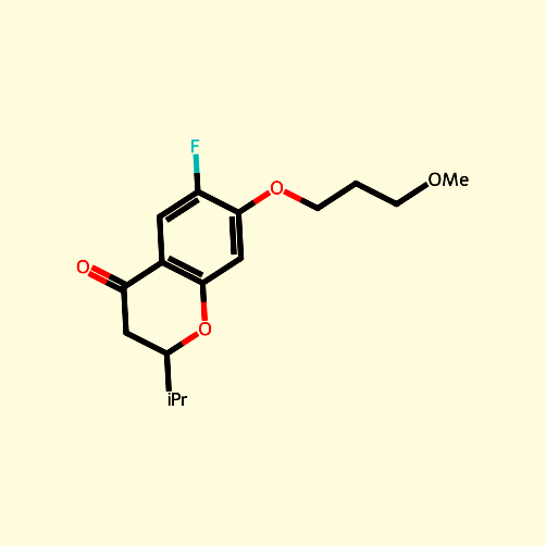 COCCCOc1cc2c(cc1F)C(=O)CC(C(C)C)O2